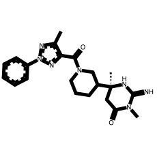 Cc1nn(-c2ccccc2)nc1C(=O)N1CCCC([C@]2(C)CC(=O)N(C)C(=N)N2)C1